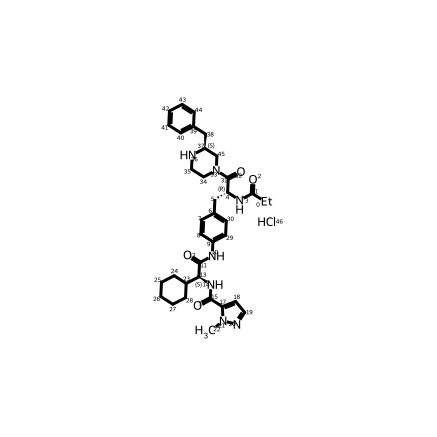 CCC(=O)N[C@H](Cc1ccc(NC(=O)[C@@H](NC(=O)c2ccnn2C)C2CCCCC2)cc1)C(=O)N1CCN[C@@H](Cc2ccccc2)C1.Cl